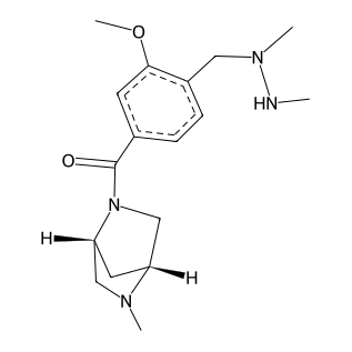 CNN(C)Cc1ccc(C(=O)N2C[C@H]3C[C@@H]2CN3C)cc1OC